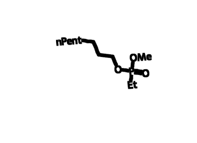 CCCCCCCCOP(=O)(CC)OC